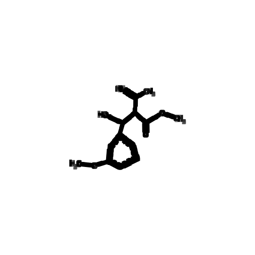 COC(=O)C(C(C)=N)C(O)c1cccc(OC)c1